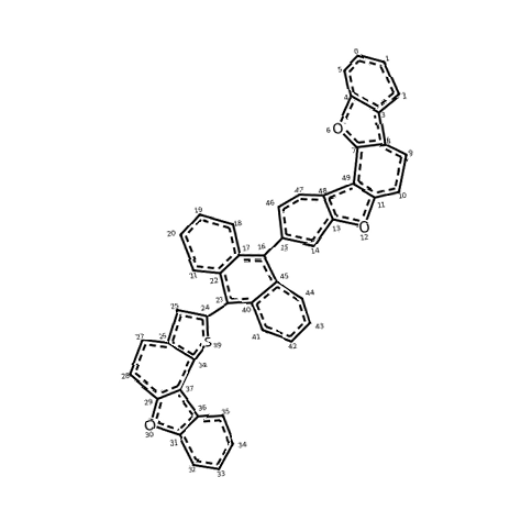 c1ccc2c(c1)oc1c2ccc2oc3cc(-c4c5ccccc5c(-c5cc6ccc7oc8ccccc8c7c6s5)c5ccccc45)ccc3c21